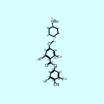 CCCC[C@H]1CC[C@H](COc2cc(F)c(C(=O)Oc3cc(F)c(C#N)c(F)c3)c(F)c2)CC1